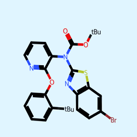 CC(C)(C)OC(=O)N(c1nc2ccc(Br)cc2s1)c1cccnc1Oc1ccccc1C(C)(C)C